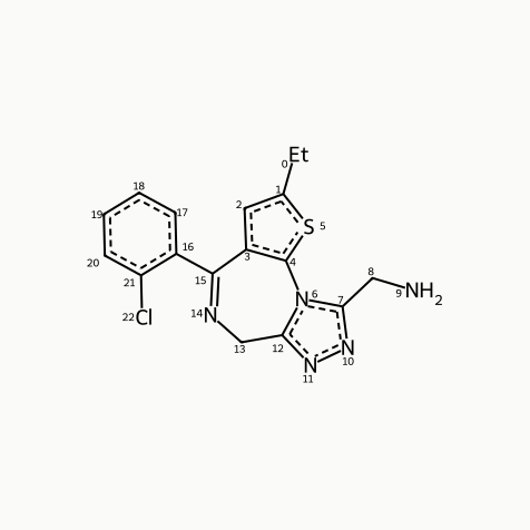 CCc1cc2c(s1)-n1c(CN)nnc1CN=C2c1ccccc1Cl